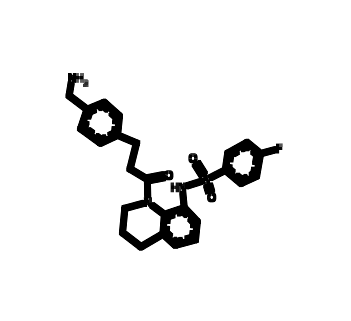 NCc1ccc(CCC(=O)N2CCCc3cccc(NS(=O)(=O)c4ccc(F)cc4)c32)cc1